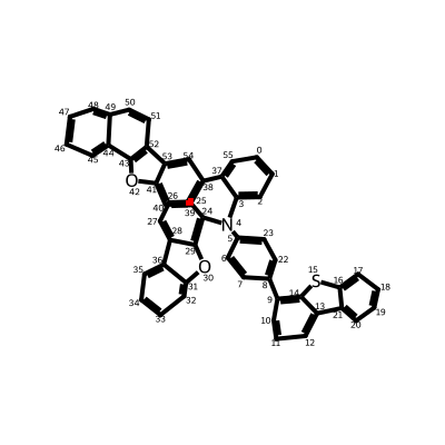 c1ccc(N(c2ccc(-c3cccc4c3sc3ccccc34)cc2)c2cccc3c2oc2ccccc23)c(-c2ccc3oc4c5ccccc5ccc4c3c2)c1